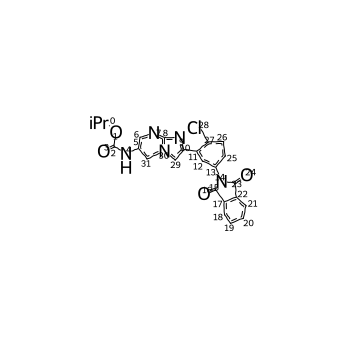 CC(C)OC(=O)Nc1cnc2nc(-c3cc(N4C(=O)c5ccccc5C4=O)ccc3Cl)cn2c1